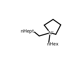 CCCCCCCC[N+]1(CCCCCC)CCCC1